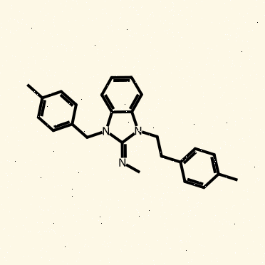 C/N=c1\n(CCc2ccc(C)cc2)c2ccccc2n1Cc1ccc(C)cc1